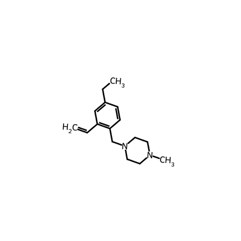 C=Cc1cc(CC)ccc1CN1CCN(C)CC1